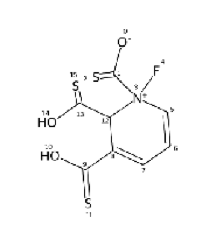 [O-]C(=S)[N+]1(F)C=CC=C(C(O)=S)C1C(O)=S